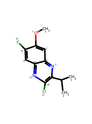 COc1cc2nc(C(C)C)c(Cl)nc2cc1F